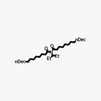 CCCCCCCCCCCCCCCCCC(=O)N(C(=O)CCCCCCCCCCCCCCCCC)C(CC)CC